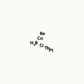 B.[Co].[Cr].[Pt].[Re].[Tb]